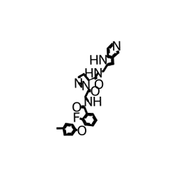 Cc1ccc(Oc2cccc(C(=O)NCC(=O)N3N=CC[C@H]3C(=O)NCc3cc4cnccc4[nH]3)c2F)cc1